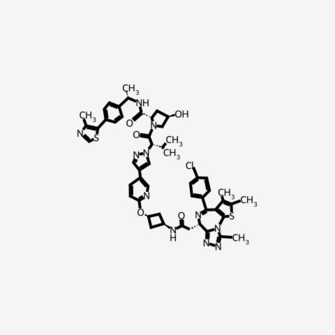 Cc1ncsc1-c1ccc([C@H](C)NC(=O)[C@@H]2C[C@@H](O)CN2C(=O)[C@H](C(C)C)n2cc(-c3ccc(O[C@H]4C[C@H](NC(=O)C[C@@H]5N=C(c6ccc(Cl)cc6)c6c(sc(C)c6C)-n6c(C)nnc65)C4)nc3)cn2)cc1